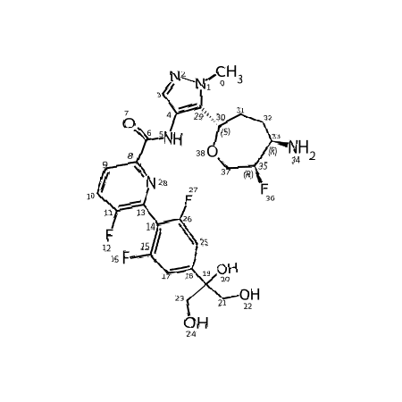 Cn1ncc(NC(=O)c2ccc(F)c(-c3c(F)cc(C(O)(CO)CO)cc3F)n2)c1[C@@H]1CC[C@@H](N)[C@@H](F)CO1